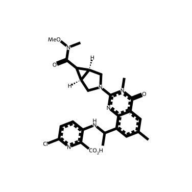 CON(C)C(=O)C1[C@H]2CN(c3nc4c(C(C)Nc5ccc(Cl)nc5C(=O)O)cc(C)cc4c(=O)n3C)C[C@@H]12